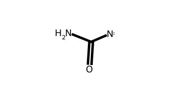 [N]C(N)=O